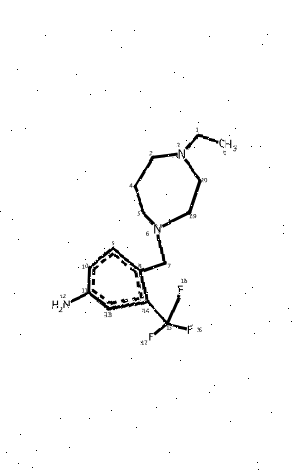 CCN1CCCN(Cc2ccc(N)cc2C(F)(F)F)CC1